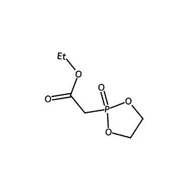 CCOC(=O)CP1(=O)OCCO1